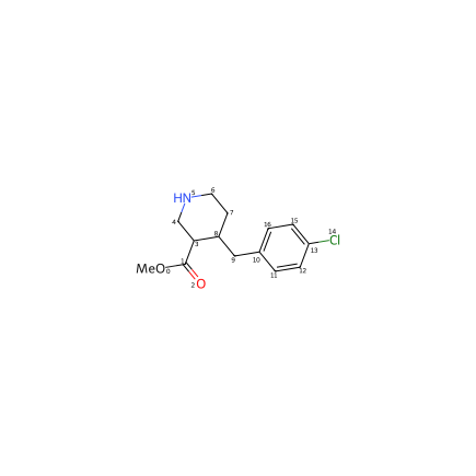 COC(=O)C1CNCCC1Cc1ccc(Cl)cc1